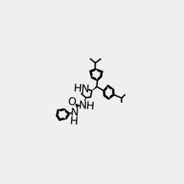 CC(C)c1ccc(C(c2ccc(C(C)C)cc2)[C@H]2C[C@@H](NC(=O)Nc3ccccc3)CN2)cc1